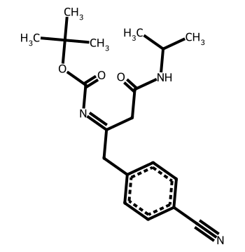 CC(C)NC(=O)C/C(Cc1ccc(C#N)cc1)=N\C(=O)OC(C)(C)C